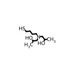 CC(O)CN(CCCCS)CC(C)O